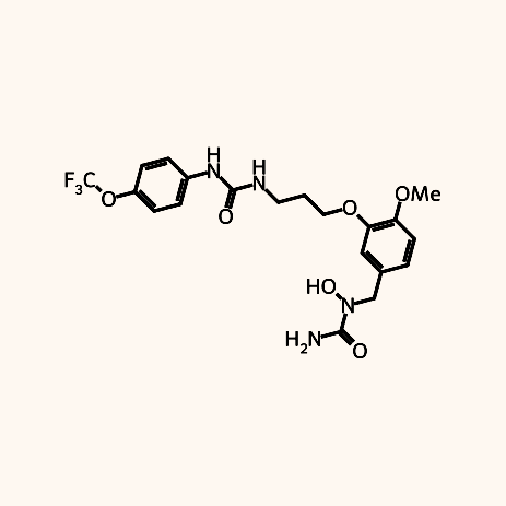 COc1ccc(CN(O)C(N)=O)cc1OCCCNC(=O)Nc1ccc(OC(F)(F)F)cc1